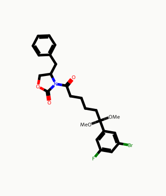 COC(CCCCC(=O)N1C(=O)OCC1Cc1ccccc1)(OC)c1cc(F)cc(Br)c1